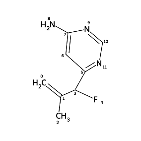 C=C(C)C(F)c1cc(N)ncn1